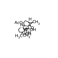 C=C1C(=O)[C@]23C[C@H]1C[C@@H](OC(C)=O)[C@H]2[C@]12CCCC(C)(C)[C@H]1[C@H](O)[C@@]3(O)OC2